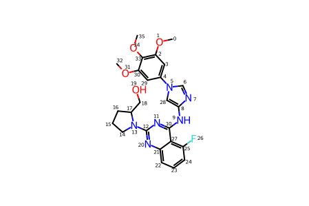 COc1cc(-n2cnc(Nc3nc(N4CCCC4CO)nc4cccc(F)c34)c2)cc(OC)c1OC